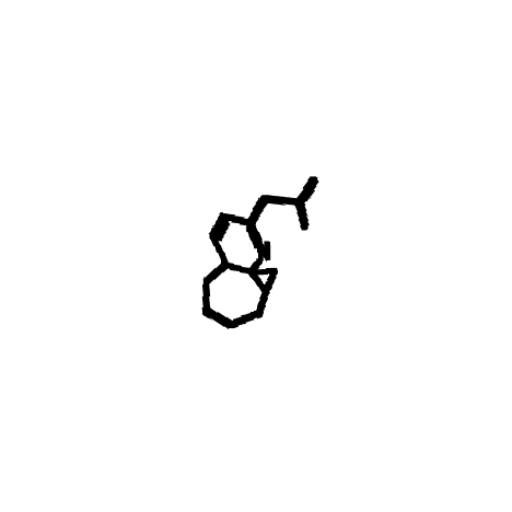 CC(C)CC1=NC23CC2CCCCC3C=C1